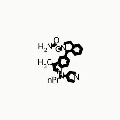 CCCN(c1ccncc1)n1cc(C)c2cc(C3c4ccccc4CCN3OC(N)=O)ccc21